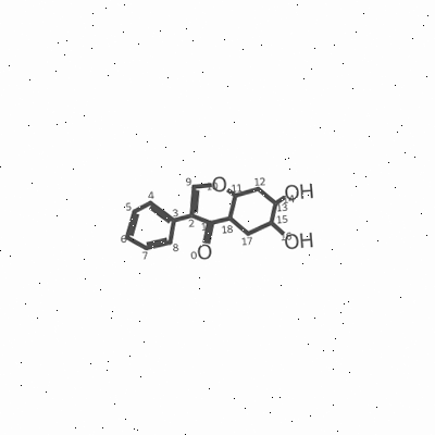 O=C1C(c2ccccc2)=COC2CC(O)C(O)CC12